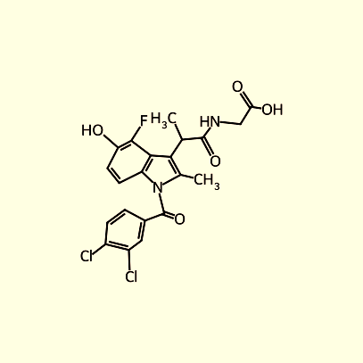 Cc1c(C(C)C(=O)NCC(=O)O)c2c(F)c(O)ccc2n1C(=O)c1ccc(Cl)c(Cl)c1